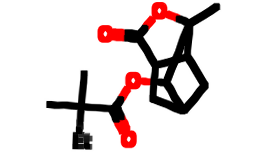 CCC(C)(C)C(=O)OC1C2CC3C(=O)OC1(C)C3C2